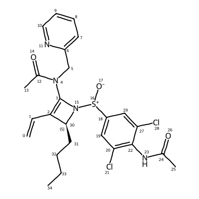 C=CC1=C(N(Cc2ccccn2)C(C)=O)N([S+]([O-])c2cc(Cl)c(NC(C)=O)c(Cl)c2)[C@H]1CCCC